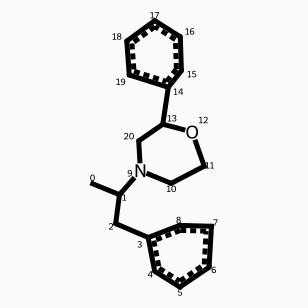 CC(Cc1ccccc1)N1CCOC(c2ccccc2)C1